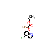 CCCOC(=O)C(S)Oc1ccc(Cl)c2cccnc12